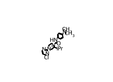 CC(C)C1CN(c2nccc(Cl)n2)CCN1C(=O)Nc1ccc(N(C)C)cc1